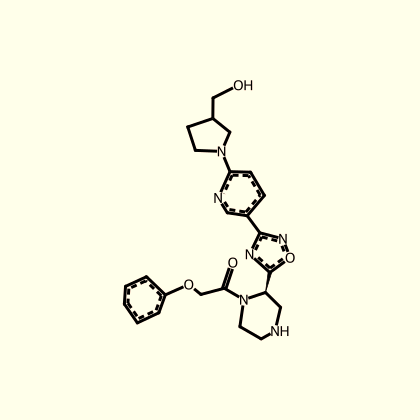 O=C(COc1ccccc1)N1CCNC[C@@H]1c1nc(-c2ccc(N3CCC(CO)C3)nc2)no1